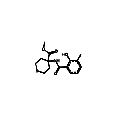 COC(=O)C1(NC(=O)c2cccc(C)c2O)CCSCC1